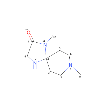 CN1CCC2(CC1)NCC(=O)N2C